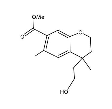 COC(=O)c1cc2c(cc1C)C(C)(CCO)CCO2